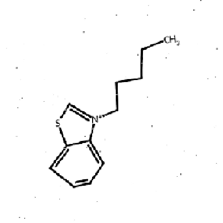 CCCCC[n+]1csc2ccccc21